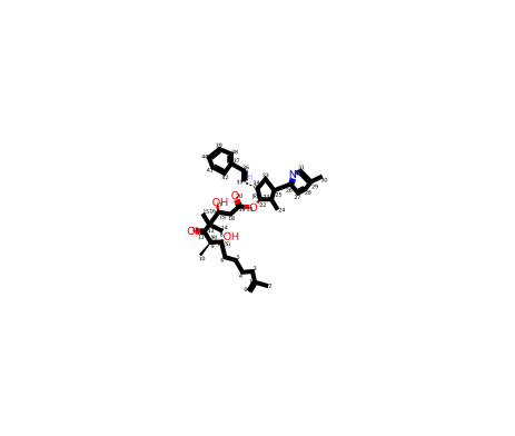 C=C(C)CCCC[C@H](O)[C@@H](C)C(=O)C(C)(C)[C@@H](O)CC(=O)O[C@@H]1C(C)C(c2ccc(C)cn2)C[C@H]1/C=C/c1ccccc1